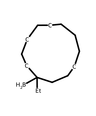 BC1(CC)CCCCCCCCCCC1